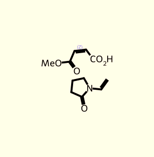 C=CN1CCCC1=O.COC(=O)/C=C\C(=O)O